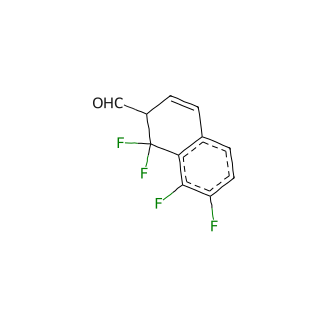 O=CC1C=Cc2ccc(F)c(F)c2C1(F)F